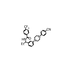 CCC(NC(=O)c1ccc(C(F)(F)F)cc1)c1cccc(N2CCN(c3ccc(C#N)cc3)CC2)c1